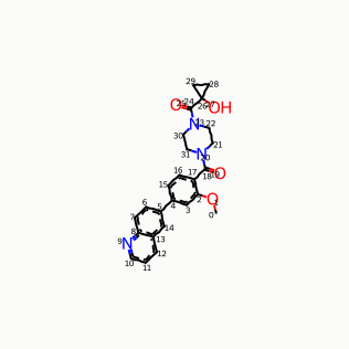 COc1cc(-c2ccc3ncccc3c2)ccc1C(=O)N1CCN(C(=O)C2(O)CC2)CC1